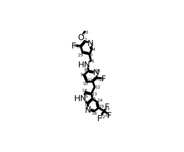 COc1ncc(CNc2ccc(Cc3c[nH]c4ncc(C(F)(F)F)cc34)c(F)n2)cc1F